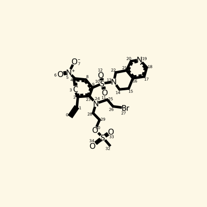 C#Cc1cc([N+](=O)[O-])cc(S(=O)(=O)N2CCc3ccncc3C2)c1N(CCBr)CCOS(C)(=O)=O